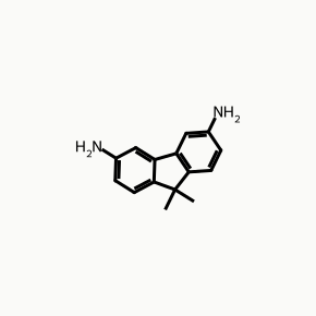 CC1(C)c2ccc(N)cc2-c2cc(N)ccc21